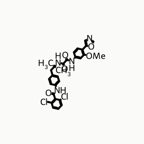 COc1cc(NC(=O)C(=O)NC(C)(C)Cc2ccc(NC(=O)c3c(Cl)cccc3Cl)cc2)ccc1-c1cnco1